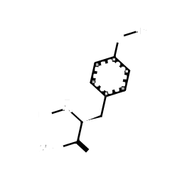 COC(=O)[C@H](Cc1ccc(OC(C)C)cc1)NS